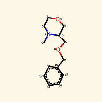 CN1CCOC[C@H]1COCc1ccccc1